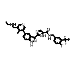 CCNCc1cncc(-c2ccc3[nH]nc(-c4ncc(C(=O)NCc5ccc(F)c(C(F)(F)F)c5)[nH]4)c3c2)c1C